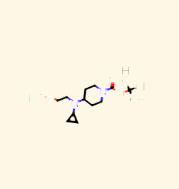 COCCN(C1CC1)C1CCN(C(=O)OC(C)(C)C)CC1